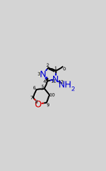 Cc1cnc(C2CCOCC2)n1N